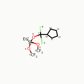 CC[Si](OC(F)(F)F)(OC(F)(F)F)OC(F)(F)C1CCCC1